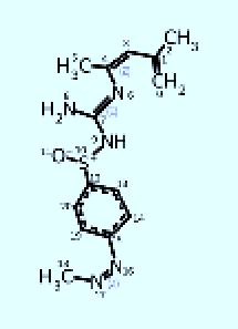 C=C(C)/C=C(C)\N=C(/N)N[S+]([O-])c1ccc(/N=N\C)cc1